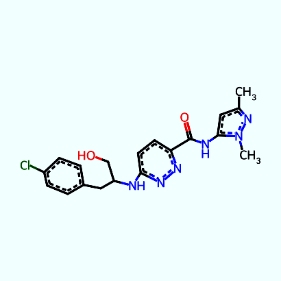 Cc1cc(NC(=O)c2ccc(NC(CO)Cc3ccc(Cl)cc3)nn2)n(C)n1